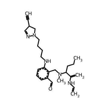 C#CC1C=NN(CCCCNc2cccc(C=O)c2CN(C)C(CCC)C(=C)NC=C)C1